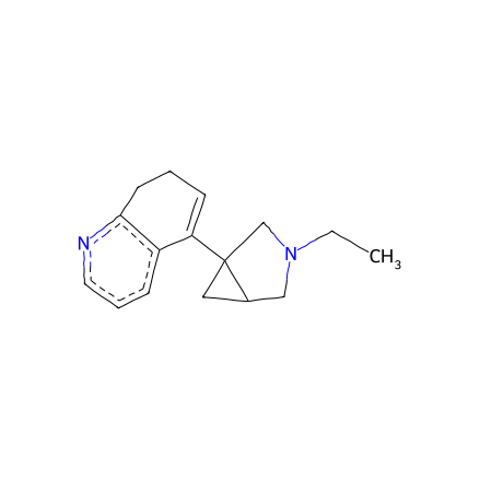 CCN1CC2CC2(C2=CCCc3ncccc32)C1